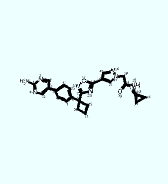 Nc1ncc(-c2ccc(C3(c4noc(-c5cnn(CC(=O)NC6CC6)c5)n4)CCC3)cc2)cn1